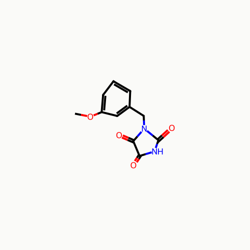 COc1cccc(CN2C(=O)NC(=O)C2=O)c1